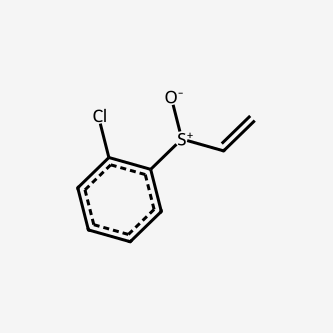 C=C[S+]([O-])c1ccccc1Cl